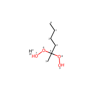 CCCCC(C)(OO)OO.[H+]